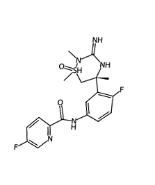 CN1C(=N)N[C@](C)(c2cc(NC(=O)c3ccc(F)cn3)ccc2F)C[SH]1(C)=O